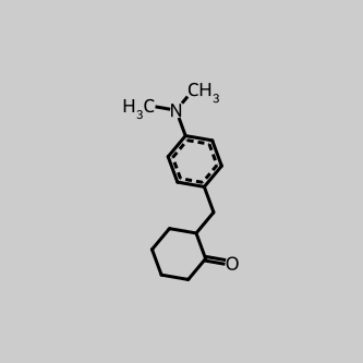 CN(C)c1ccc(CC2CCCCC2=O)cc1